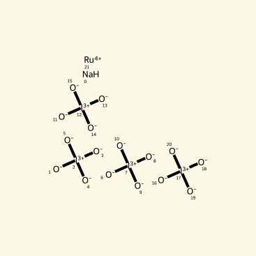 [NaH].[O-][I+3]([O-])([O-])[O-].[O-][I+3]([O-])([O-])[O-].[O-][I+3]([O-])([O-])[O-].[O-][I+3]([O-])([O-])[O-].[Ru+4]